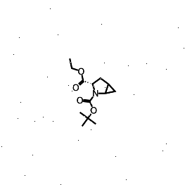 CCOC(=O)[C@@H]1CC2CC2N1C(=O)OC(C)(C)C